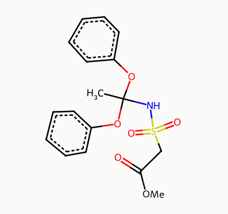 COC(=O)CS(=O)(=O)NC(C)(Oc1ccccc1)Oc1ccccc1